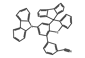 N#Cc1cccc(-c2cc(-n3c4ccccc4c4ccccc43)cc3c2Sc2ccccc2C32c3ccccc3-c3ccccc32)c1